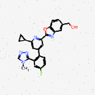 Cn1cnnc1-c1cc(F)ccc1-c1cc(-c2nc3cc(CO)ccc3o2)nc(C2CC2)c1